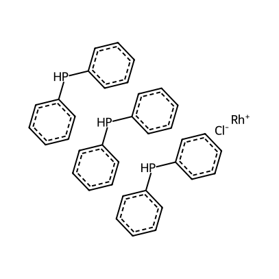 [Cl-].[Rh+].c1ccc(Pc2ccccc2)cc1.c1ccc(Pc2ccccc2)cc1.c1ccc(Pc2ccccc2)cc1